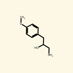 COc1ccc(CC(O)CN)cc1